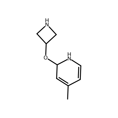 CC1=CC(OC2CNC2)NC=C1